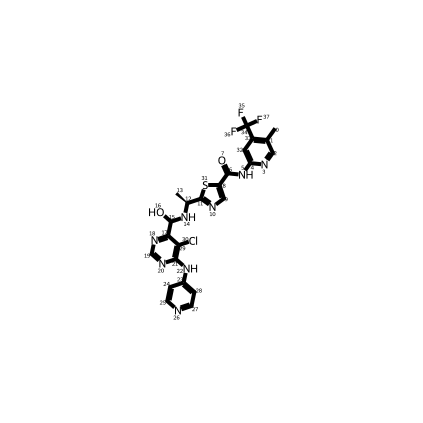 Cc1cnc(NC(=O)c2cnc([C@H](C)NC(O)c3ncnc(Nc4ccncc4)c3Cl)s2)cc1C(F)(F)F